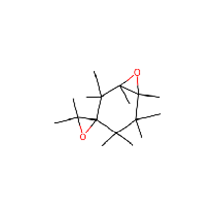 CC1(C)OC12C(C)(C)C(C)(C)C1(C)OC1(C)C2(C)C